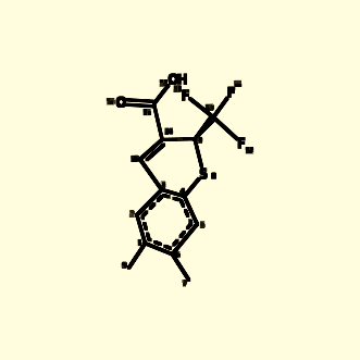 Cc1cc2c(cc1C)S[C@H](C(F)(F)F)C(C(=O)O)=C2